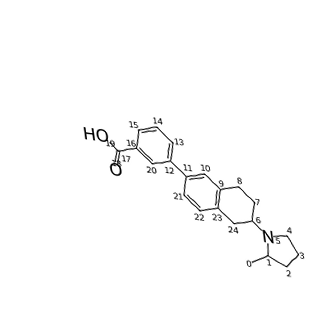 CC1CCCN1C1CCc2cc(-c3cccc(C(=O)O)c3)ccc2C1